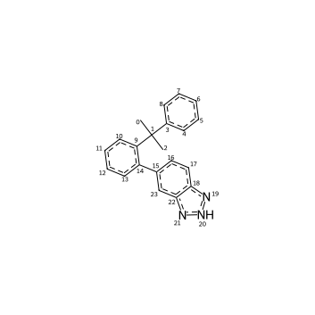 CC(C)(c1ccccc1)c1ccccc1-c1ccc2n[nH]nc2c1